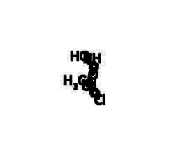 Cc1oc(-c2ccc(Cl)cc2)nc1COc1cccc(CNO)c1